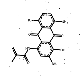 Bc1cc(NC(=O)C(=C)C)c2c(c1O)C(=O)c1c(N)ccc(O)c1C2=O